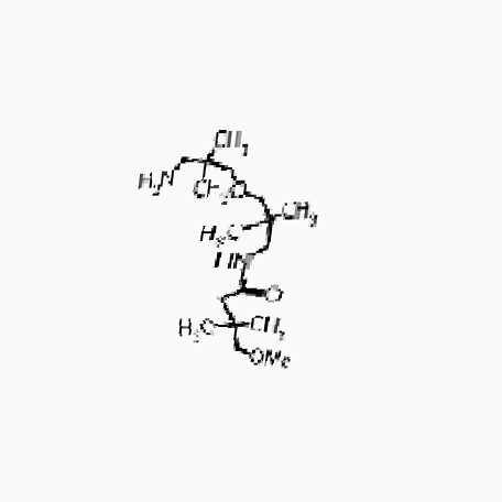 COCC(C)(C)CC(=O)NCC(C)(C)COCC(C)(C)CN